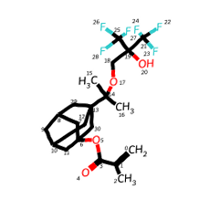 C=C(C)C(=O)OC12CC3CC(C1)CC(C(C)(C)OCC(O)(C(F)(F)F)C(F)(F)F)(C3)C2